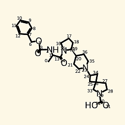 CC(NC(=O)OCc1ccccc1)C(=O)N1CCC[C@H]1C1CCN(C2CC3(CCN(C(=O)O)C3)C2)CC1